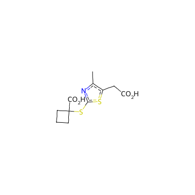 Cc1nc(SC2(C(=O)O)CCC2)sc1CC(=O)O